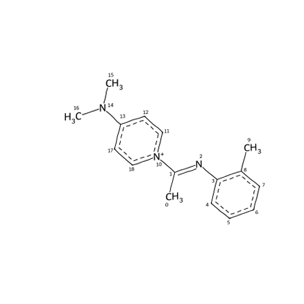 C/C(=N\c1ccccc1C)[n+]1ccc(N(C)C)cc1